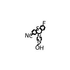 N#Cc1ccc2c(c1)C(N1CCN(CCO)CC1)Cc1ccc(F)cc1S2